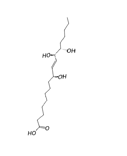 CCCCC[C@H](O)[C@H](O)/C=C/[C@@H](O)CCCCCCCC(=O)O